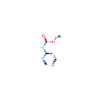 CC(C)(C)OC(=O)Nc1ncncn1